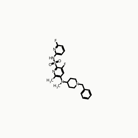 Cc1nc(S(=O)(=O)Nc2cccc(F)n2)c(F)cc1N(C)C1CCN(Cc2ccccc2)CC1